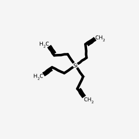 C=C[CH][Si](CC=C)(CC=C)CC=C